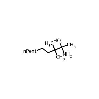 CCCCCCCC(C)(C)C(C)(N)O